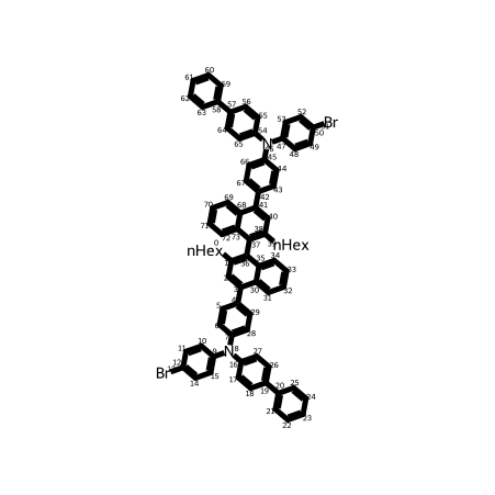 CCCCCCc1cc(-c2ccc(N(c3ccc(Br)cc3)c3ccc(-c4ccccc4)cc3)cc2)c2ccccc2c1-c1c(CCCCCC)cc(-c2ccc(N(c3ccc(Br)cc3)c3ccc(-c4ccccc4)cc3)cc2)c2ccccc12